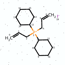 C=CC[P+](CC=C)(C1CCCCC1)C1CCCCC1.[I-]